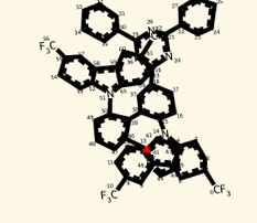 FC(F)(F)c1ccc2c(c1)c1cc(C(F)(F)F)ccc1n2-c1ccc(-c2nc(-c3ccccc3)nc(-c3ccccc3)n2)cc1-c1c(-c2ccccn2)cccc1-n1c2ccc(C(F)(F)F)cc2c2cc(C(F)(F)F)ccc21